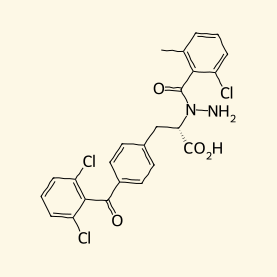 Cc1cccc(Cl)c1C(=O)N(N)[C@@H](Cc1ccc(C(=O)c2c(Cl)cccc2Cl)cc1)C(=O)O